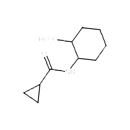 O=C(NC1CCCCC1C(=O)O)C1CC1